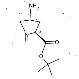 CC(C)(C)OC(=O)[C@@H]1CC(N)CN1